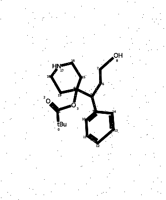 CC(C)(C)C(=O)OC1(C(CCO)c2ccccc2)CCNCC1